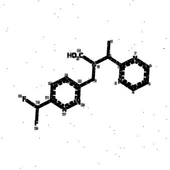 CC(c1ncccn1)N(Cc1ccc(C(F)F)nn1)C(=O)O